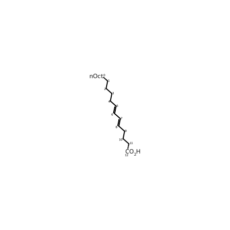 CCCCCCCCCCCCC=CC=CCCCC(=O)O